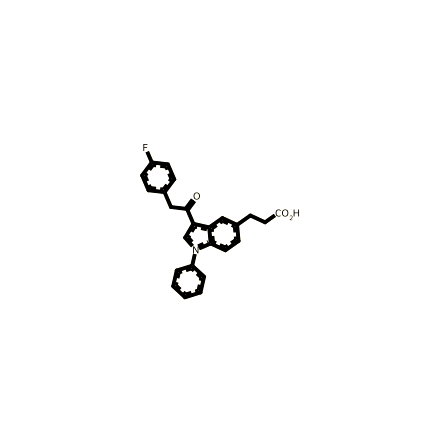 O=C(O)CCc1ccc2c(c1)c(C(=O)Cc1ccc(F)cc1)cn2-c1ccccc1